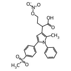 Cc1c(C(CCO[N+](=O)[O-])C(=O)O)cc(-c2ccc(S(C)(=O)=O)cc2)n1-c1ccccc1